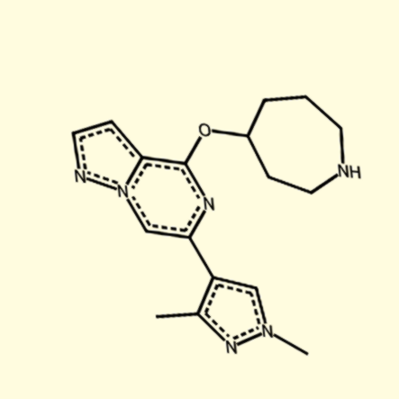 Cc1nn(C)cc1-c1cn2nccc2c(OC2CCCNCC2)n1